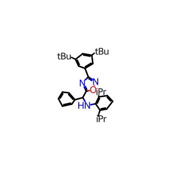 CC(C)c1cccc(C(C)C)c1NC(c1ccccc1)c1nc(-c2cc(C(C)(C)C)cc(C(C)(C)C)c2)no1